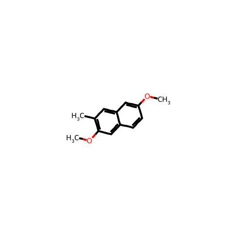 COc1ccc2cc(OC)c(C)cc2c1